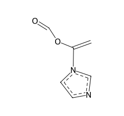 C=C(OC=O)n1ccnc1